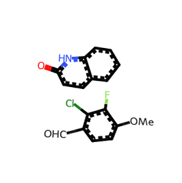 COc1ccc(C=O)c(Cl)c1F.O=c1ccc2ccccc2[nH]1